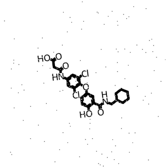 O=C(O)CC(=O)Nc1cc(Cl)c(Oc2ccc(O)c(C(=O)NCC3CCCCC3)c2)c(Cl)c1